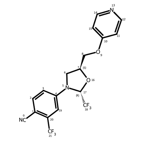 N#Cc1ccc(N2C[C@@H](COc3ccncc3)O[C@@H]2C(F)(F)F)cc1C(F)(F)F